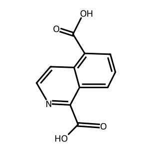 O=C(O)c1cccc2c(C(=O)O)nccc12